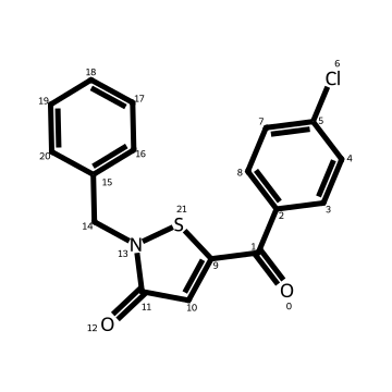 O=C(c1ccc(Cl)cc1)c1cc(=O)n(Cc2ccccc2)s1